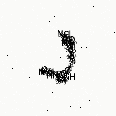 CC(C)(C)C(NC(=O)COCCCCOc1ccc(-c2ccc(N3C(=S)N(c4cc(Cl)c(C#N)cc4F)C(=O)C3(C)C)cc2)cc1)C(=O)N1CCC[C@H]1C(=O)NCc1ccc(-c2cnco2)cc1